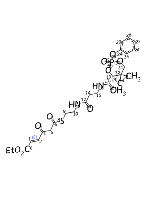 CCOC(=O)/C=C/C(=O)CC(=O)SCCNC(=O)CCNC(=O)[C@@H]1OP(=O)(Oc2ccccc2)OCC1(C)C